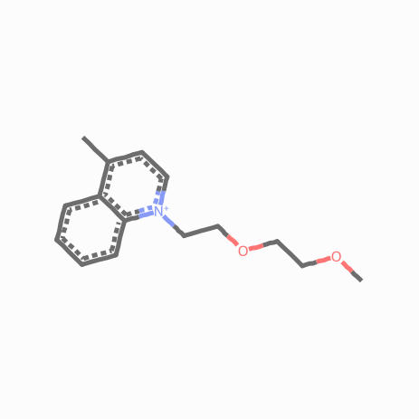 COCCOCC[n+]1ccc(C)c2ccccc21